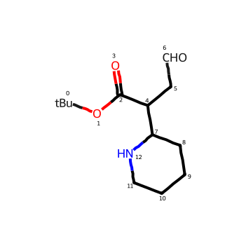 CC(C)(C)OC(=O)C(CC=O)C1CCCCN1